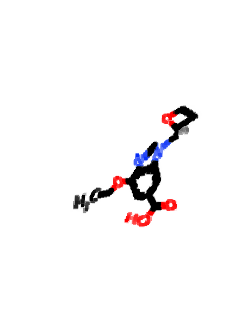 CCOc1cc(C(=O)O)cc2c1ncn2C[C@@H]1CCO1